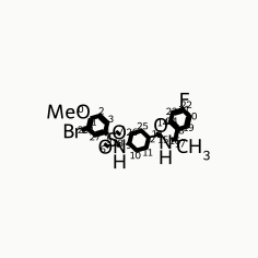 COc1ccc(S(=O)(=O)N[C@H]2CC[C@H](C(=O)N[C@H](C)c3ccc(F)cc3)CC2)cc1Br